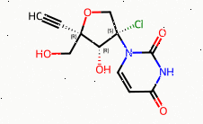 C#C[C@]1(CO)OC[C@@](Cl)(n2ccc(=O)[nH]c2=O)[C@@H]1O